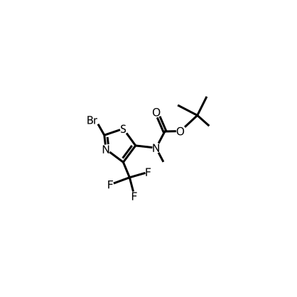 CN(C(=O)OC(C)(C)C)c1sc(Br)nc1C(F)(F)F